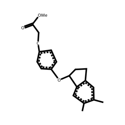 COC(=O)CCc1ccc(OC2CCc3cc(C)c(C)cc32)cc1